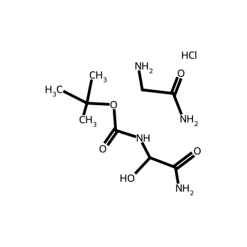 CC(C)(C)OC(=O)NC(O)C(N)=O.Cl.NCC(N)=O